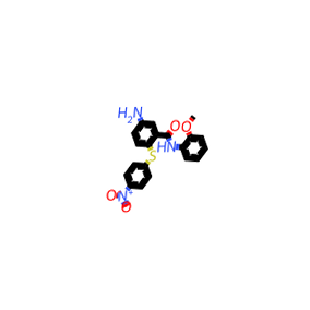 COc1ccccc1NC(=O)c1cc(N)ccc1Sc1ccc([N+](=O)[O-])cc1